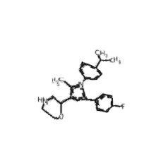 Cc1c(C2CNCCO2)cc(-c2ccc(F)cc2)n1-c1ccc(C(C)C)cc1